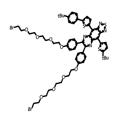 CC(C)(C)c1ccc(-c2ccc(-c3c4nsnc4c(-c4ccc(C(C)(C)C)s4)c4nc(-c5ccc(OCCOCCOCCOCCBr)cc5)c(-c5ccc(OCCOCCOCCOCCBr)cc5)nc34)s2)cc1